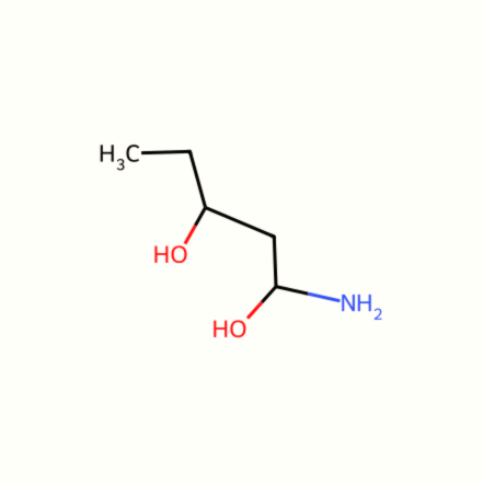 CCC(O)CC(N)O